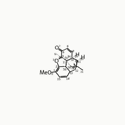 COC1=C2O[C@@]3(C)C(=O)C=C[C@H]4[C@H]5CC(C=C1)C2[C@]43CCN5C